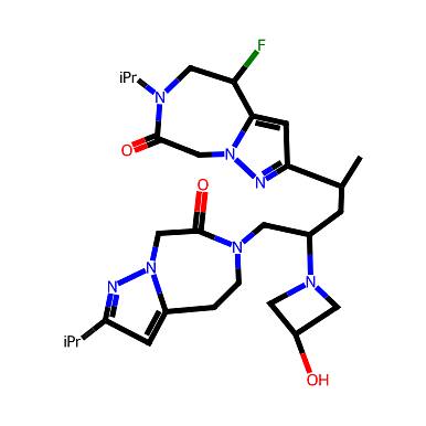 CC(C)c1cc2n(n1)CC(=O)N(CC(CC(C)c1cc3n(n1)CC(=O)N(C(C)C)CC3F)N1CC(O)C1)CC2